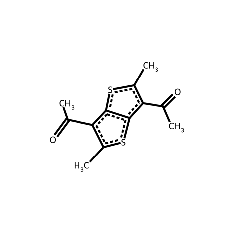 CC(=O)c1c(C)sc2c(C(C)=O)c(C)sc12